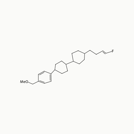 COCc1ccc(C2CCC(C3CCC(CCC=CF)CC3)CC2)cc1